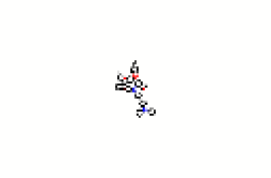 C=CC1CC=C(OC2CC=C(C3(C4=CCC(C)CC4)C4C=CCCC4C4C=CC(N(C5CCC(C6CCC7C(C6)C6CCCCC6N7C6CC=CCC6)CC5)C5CCC=C6CCCCC65)CC43)CC2)CC1